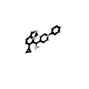 O[C@@H](c1c(C2CC2)ccc2cncn12)C1CCN(c2ccccc2)CC1